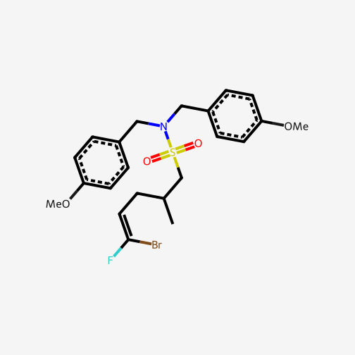 COc1ccc(CN(Cc2ccc(OC)cc2)S(=O)(=O)CC(C)CC=C(F)Br)cc1